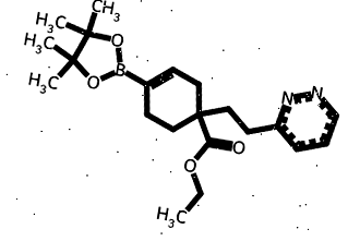 CCOC(=O)C1(CCc2cccnn2)CC=C(B2OC(C)(C)C(C)(C)O2)CC1